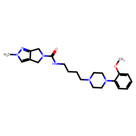 COc1ccccc1N1CCN(CCCCNC(=O)N2Cc3cn(C)nc3C2)CC1